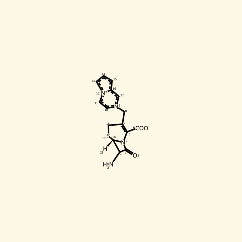 NC1C(=O)N2C(C(=O)[O-])=C(Cn3cc[n+]4cccc-4c3)CS[C@@H]12